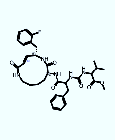 COC(=O)C(NC(=O)NC(Cc1ccccc1)C(=O)N[C@H]1CCCCNC(=O)/C=C/[C@H](Cc2ccccc2F)NC1=O)C(C)C